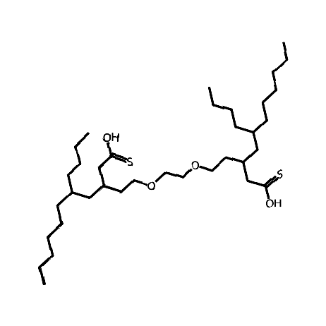 CCCCCCC(CCCC)CC(CCOCCOCCC(CC(O)=S)CC(CCCC)CCCCCC)CC(O)=S